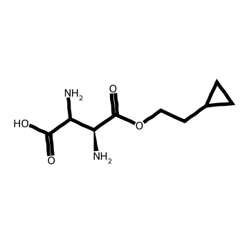 NC(C(=O)O)[C@H](N)C(=O)OCCC1CC1